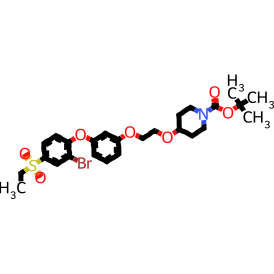 CCS(=O)(=O)c1ccc(Oc2cccc(OCCOC3CCN(C(=O)OC(C)(C)C)CC3)c2)c(Br)c1